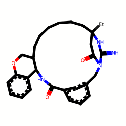 CCC12CCCCCCC3COc4ccccc4C3NC(=O)c3cccc(c3)CN(C(=N)N1)C(=O)C2